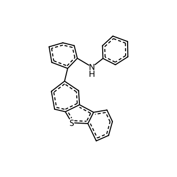 c1ccc(Nc2ccccc2-c2ccc3sc4ccccc4c3c2)cc1